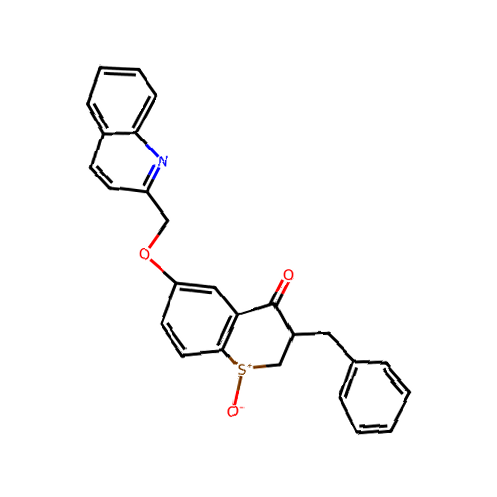 O=C1c2cc(OCc3ccc4ccccc4n3)ccc2[S+]([O-])CC1Cc1ccccc1